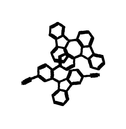 N#Cc1ccc(-c2ccc(-n3c4ccccc4c4cccc(-n5c6ccccc6c6ccccc65)c43)cc2)c(-n2c3ccccc3c3cc(C#N)ccc32)c1